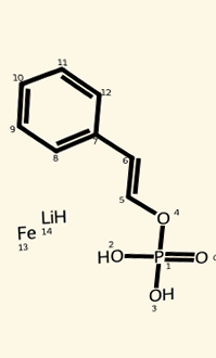 O=P(O)(O)OC=Cc1ccccc1.[Fe].[LiH]